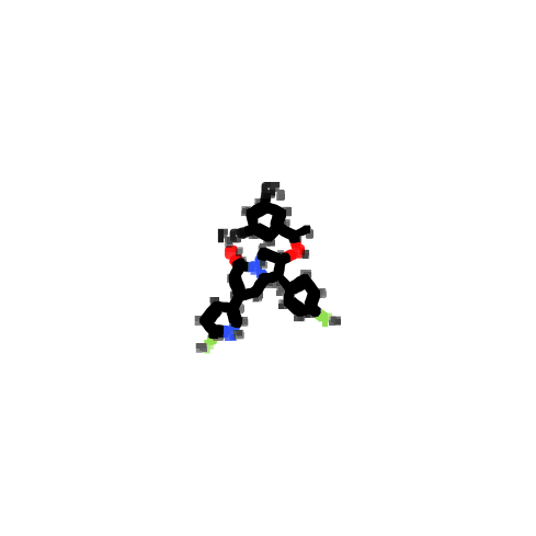 C[C@@H](OC1CN2C(=O)C=C(c3ccc(F)nc3)CC2[C@@H]1c1ccc(F)cc1)c1cc(C(F)(F)F)cc(C(F)(F)F)c1